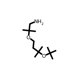 CC(C)(C)OC(C)(C)CCOC(C)(C)CN